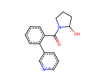 O=C(c1ccccc1-c1[c]nccc1)N1CCCC1O